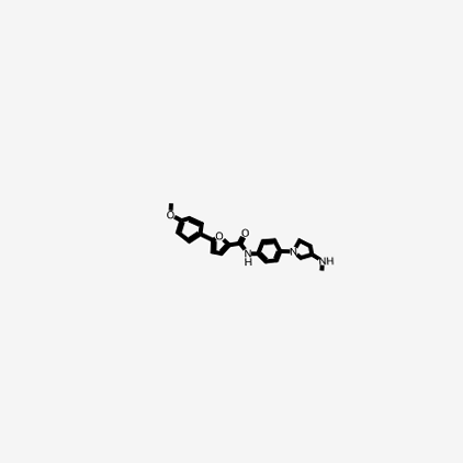 CNC1CCN(c2ccc(NC(=O)c3ccc(-c4ccc(OC)cc4)o3)cc2)C1